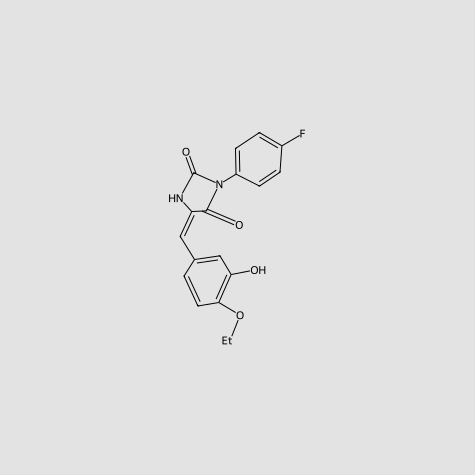 CCOc1ccc(C=C2NC(=O)N(c3ccc(F)cc3)C2=O)cc1O